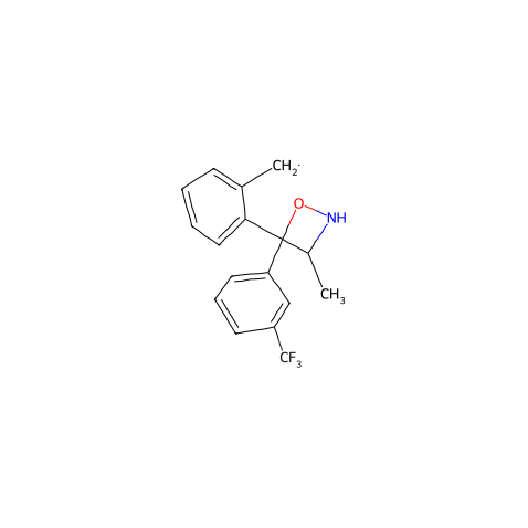 [CH2]c1ccccc1C1(c2cccc(C(F)(F)F)c2)ONC1C